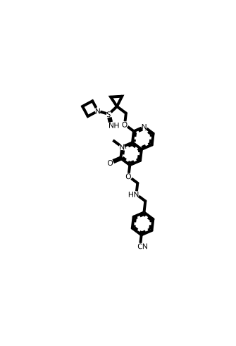 Cn1c(=O)c(OCNCc2ccc(C#N)cc2)cc2ccnc(OCC3(S(=N)N4CCC4)CC3)c21